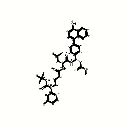 COC(=O)C[C@H](NC(=O)[C@H](CC(C)C)NC(=O)CCCN(C(=O)OC(C)(C)C)c1cc(C)ccn1)c1ccc(-c2ccc(O)c3ccccc23)cc1